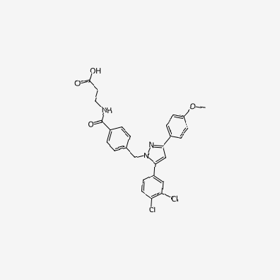 COc1ccc(-c2cc(-c3ccc(Cl)c(Cl)c3)n(Cc3ccc(C(=O)NCCC(=O)O)cc3)n2)cc1